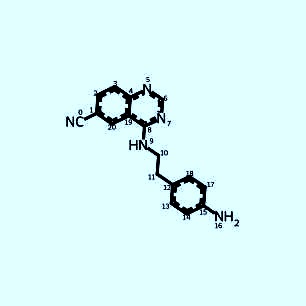 N#Cc1ccc2ncnc(NCCc3ccc(N)cc3)c2c1